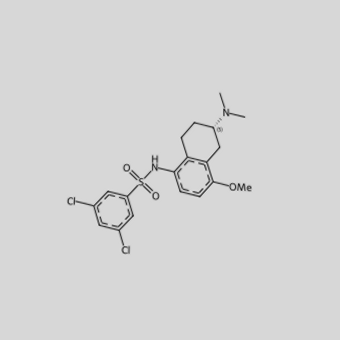 COc1ccc(NS(=O)(=O)c2cc(Cl)cc(Cl)c2)c2c1C[C@@H](N(C)C)CC2